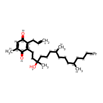 C=CCC1=C(CCC(C)(O)CCCC(C)CCCC(C)CCCC(C)C)C(=O)C(C)=CC1=O